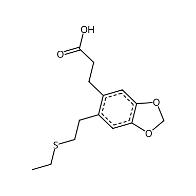 CCSCCc1cc2c(cc1CCC(=O)O)OCO2